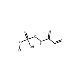 C=CC(=O)NOP(=O)(O)OCC